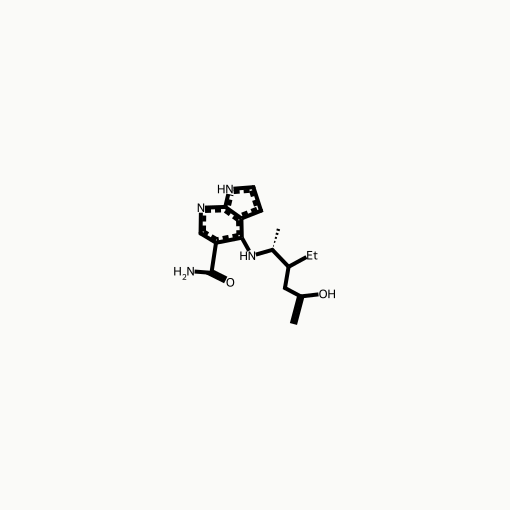 C=C(O)CC(CC)[C@@H](C)Nc1c(C(N)=O)cnc2[nH]ccc12